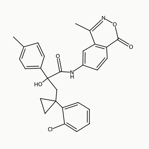 Cc1ccc(C(O)(CC2(c3ccccc3Cl)CC2)C(=O)Nc2ccc3c(=O)onc(C)c3c2)cc1